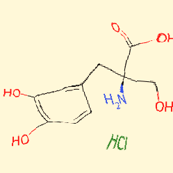 Cl.N[C@@](CO)(Cc1ccc(O)c(O)c1)C(=O)O